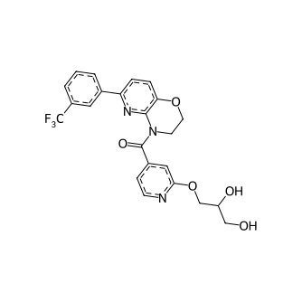 O=C(c1ccnc(OCC(O)CO)c1)N1CCOc2ccc(-c3cccc(C(F)(F)F)c3)nc21